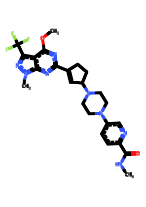 CNC(=O)c1ccc(N2CCN(C3C=C(c4nc(OC)c5c(C(F)(F)F)nn(C)c5n4)CC3)CC2)cn1